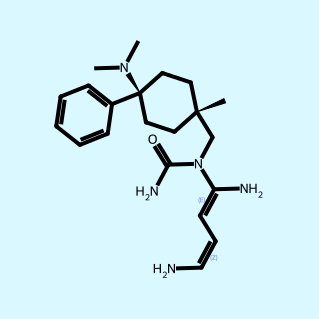 CN(C)[C@]1(c2ccccc2)CC[C@@](C)(CN(C(N)=O)/C(N)=C/C=C\N)CC1